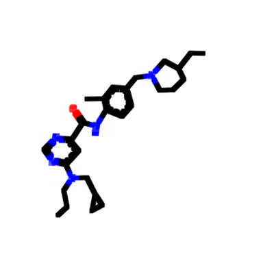 CCCN(CC1CC1)c1cc(C(=O)Nc2ccc(CN3CCCC(CC)C3)cc2C)ncn1